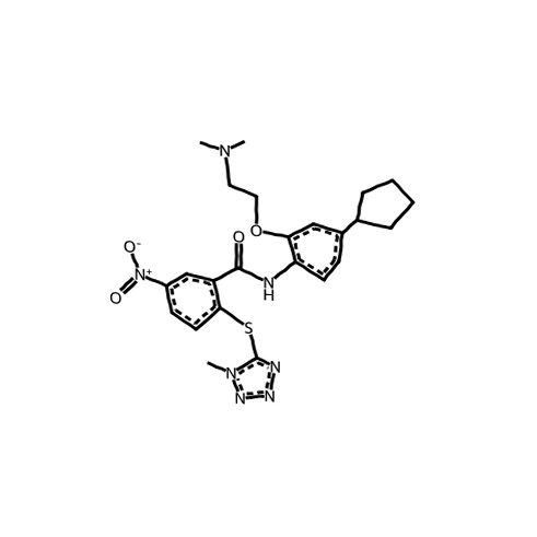 CN(C)CCOc1cc(C2CCCC2)ccc1NC(=O)c1cc([N+](=O)[O-])ccc1Sc1nnnn1C